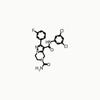 NC(=O)N1CCn2nc(-c3cccc(F)c3)c(C(=O)Nc3cc(Cl)cc(Cl)c3)c2C1